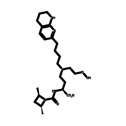 CCCOCCN(CCCCc1ccc2c(n1)NCCC2)CC[C@H](NC(=O)N1[C@H](C)C[C@H]1C)C(=O)O